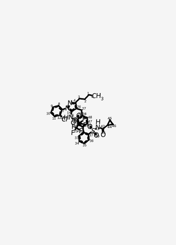 CCCCc1nn(-c2ccccc2Cl)c(NS(=O)(=O)C(F)(F)C(F)(F)F)c1Cc1ccc(-c2ccccc2S(=O)(=O)NC(=O)C2CC2)cc1